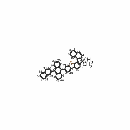 CC1(C)c2ccc3ccccc3c2-c2c1ccc1c2sc2cc(-c3c4ccccc4c(-c4ccc5ccccc5c4)c4ccccc34)ccc21